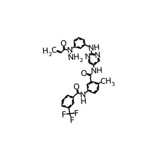 C=CC(=O)N(N)c1cccc(Nc2ncc(NC(=O)c3cc(NC(=O)c4cccc(C(F)(F)F)c4)ccc3C)cn2)c1